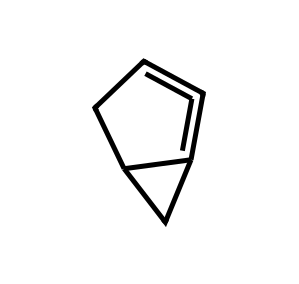 C1=CCC2CC=12